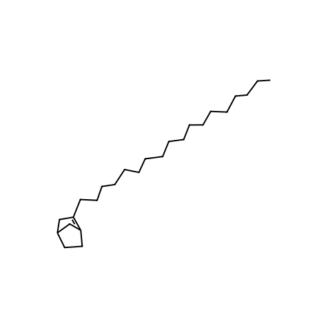 CCCCCCCCCCCCCCCCCCC1=C2CCC(C1)C2